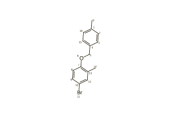 Cc1ccc(COc2ccc(Br)cc2C)cc1